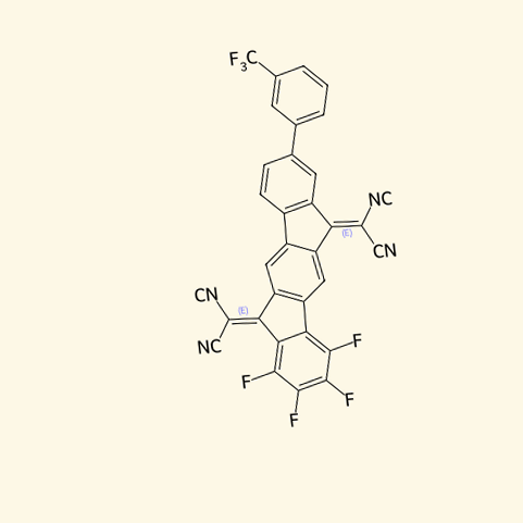 [C-]#[N+]/C(C#N)=C1\c2cc(-c3cccc(C(F)(F)F)c3)ccc2-c2cc3c(cc21)-c1c(F)c(F)c(F)c(F)c1/C3=C(\C#N)[N+]#[C-]